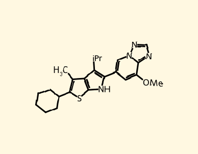 COc1cc(-c2[nH]c3sc(C4CCCCC4)c(C)c3c2C(C)C)cn2ncnc12